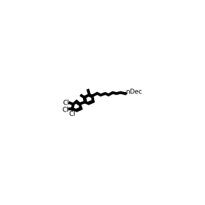 CCCCCCCCCCCCCCCCCCc1ccc(C2=CC(Cl)C(Cl)(Cl)C=C2)c(C)c1C